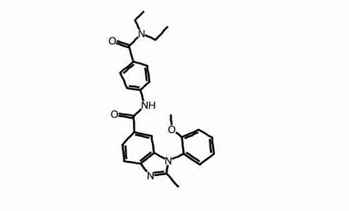 CCN(CC)C(=O)c1ccc(NC(=O)c2ccc3nc(C)n(-c4ccccc4OC)c3c2)cc1